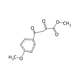 COC(=O)C(=O)CC(=O)c1ccc(OC)cc1